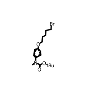 CN(C(=O)OC(C)(C)C)c1ccc(OCCCCCBr)cc1